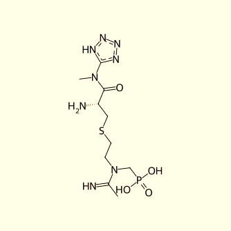 CC(=N)N(CCSC[C@H](N)C(=O)N(C)c1nnn[nH]1)CP(=O)(O)O